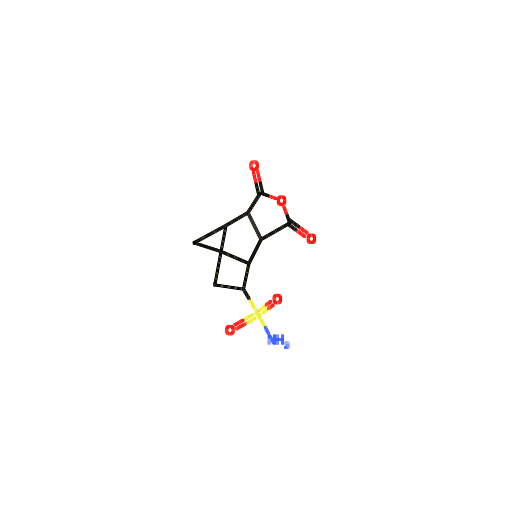 NS(=O)(=O)C1CC23CC2C2C(=O)OC(=O)C2C13